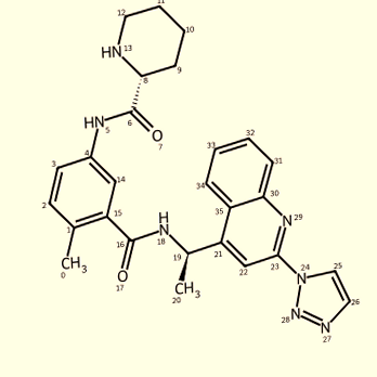 Cc1ccc(NC(=O)[C@H]2CCCCN2)cc1C(=O)N[C@H](C)c1cc(-n2ccnn2)nc2ccccc12